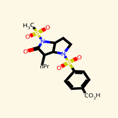 CCCC1C(=O)N(S(C)(=O)=O)C2CCN(S(=O)(=O)c3ccc(C(=O)O)cc3)C12